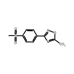 CS(=O)(=O)c1ccc(-c2noc(C(Cl)(Cl)Cl)n2)cc1